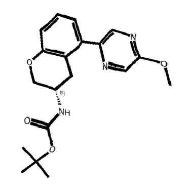 COc1cnc(-c2cccc3c2C[C@H](NC(=O)OC(C)(C)C)CO3)cn1